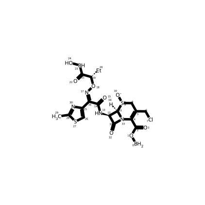 BOC(=O)C1=C(CCl)C[S+]([O-])[C@@H]2[C@H](NC(=O)/C(=N\O[C@@H](CC)C(=O)BO)c3csc(C)n3)C(=O)N12